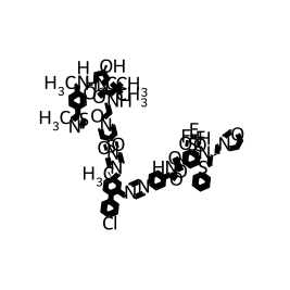 Cc1ncsc1-c1ccc([C@H](C)NC(=O)[C@@H]2C[C@@H](O)CN2C(=O)[C@@H](NCCC(=O)N2CCC(S(=O)(=O)N3CCN(C[C@]4(C)CCC(c5ccc(Cl)cc5)=C(CN5CCN(c6ccc(C(=O)NS(=O)(=O)c7ccc(N[C@H](CCN8CCCOCC8)CSc8ccccc8)c(S(=O)(=O)C(F)(F)F)c7)cc6)CC5)C4)CC3)CC2)C(C)(C)C)cc1